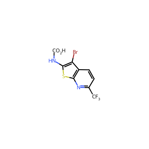 O=C(O)Nc1sc2nc(C(F)(F)F)ccc2c1Br